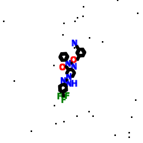 N#Cc1cccc(COc2nc3c(c(=O)n2-c2ccccc2)CN(c2nc4ccc(C(F)(F)F)cc4[nH]2)CC3)c1